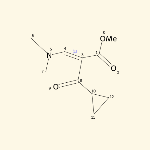 COC(=O)/C(=C/N(C)C)C(=O)C1CC1